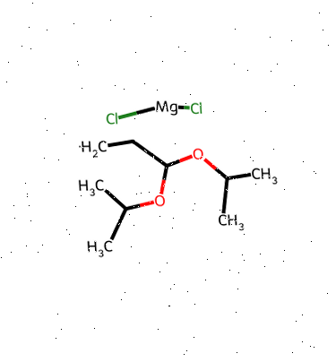 [CH2]CC(OC(C)C)OC(C)C.[Cl][Mg][Cl]